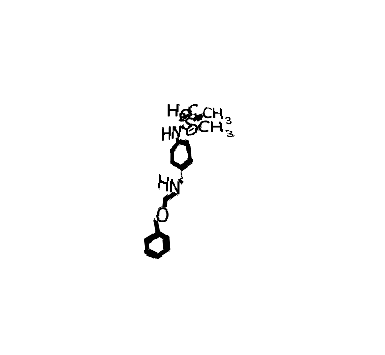 CC(C)(C)S(=O)(=O)N[C@H]1CC[C@H](CNCCOCc2ccccc2)CC1